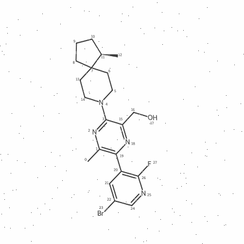 Cc1nc(N2CCC3(CCC[C@H]3C)CC2)c(CO)nc1-c1cc(Br)cnc1F